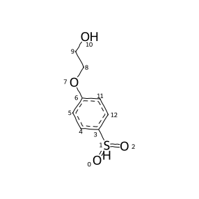 O=[SH](=O)c1ccc(OCCO)cc1